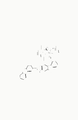 CC(C)(O)C(C)(C)OBc1cccc2oc3cc4nc(-c5ccc6oc7ccccc7c6c5)sc4cc3c12